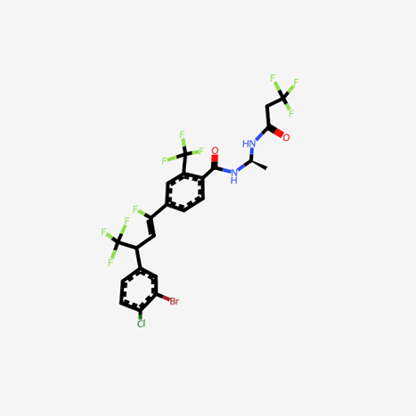 C[C@H](NC(=O)CC(F)(F)F)NC(=O)c1ccc(/C(F)=C/C(c2ccc(Cl)c(Br)c2)C(F)(F)F)cc1C(F)(F)F